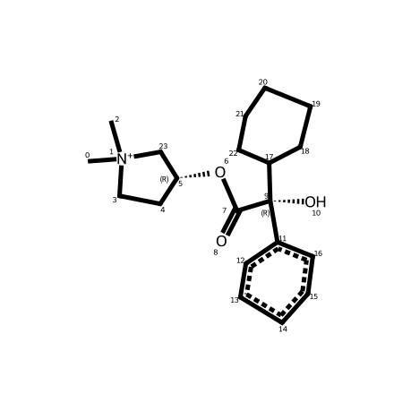 C[N+]1(C)CC[C@@H](OC(=O)[C@](O)(c2ccccc2)C2CCCCC2)C1